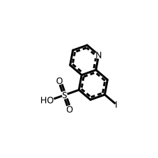 O=S(=O)(O)c1cc(I)cc2ncccc12